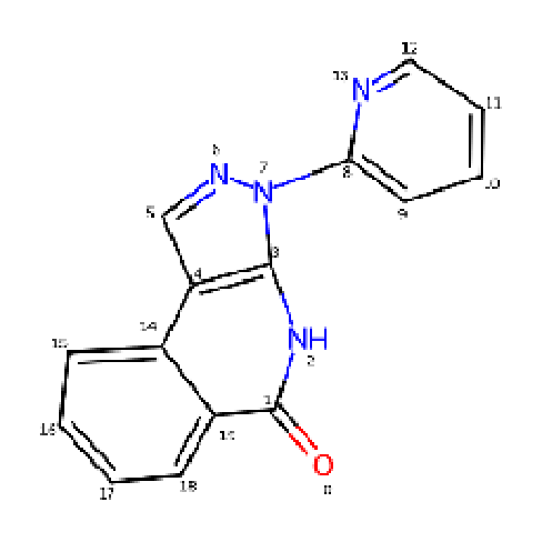 O=c1[nH]c2c(cnn2-c2ccccn2)c2ccccc12